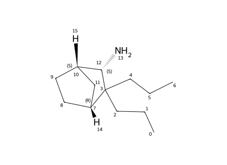 CCCC1(CCC)[C@@H]2CC[C@@H](C2)[C@@H]1N